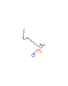 CCCCC/C=C\C/C=C\CCCCCCC[C@@H]1[C@@H](C(=O)OCCN2CCCC2)CC(=O)N1C